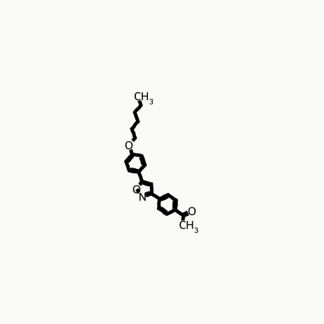 CCCCCCOc1ccc(-c2cc(-c3ccc(C(C)=O)cc3)no2)cc1